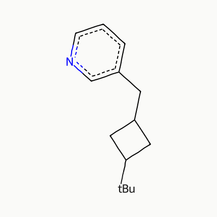 CC(C)(C)C1CC(Cc2cccnc2)C1